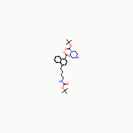 CC(C)(C)OC(=O)NCCCCc1ccc(C(=O)[C@@H]2CNCCN2C(=O)OC(C)(C)C)c2ccccc12